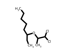 CCCCCC(CC)OC(C)C(Cl)Cl